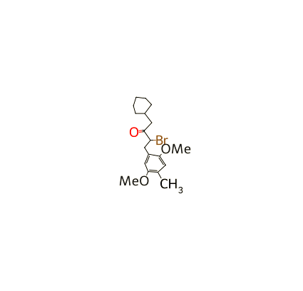 COc1cc(CC(Br)C(=O)CC2CCCCC2)c(OC)cc1C